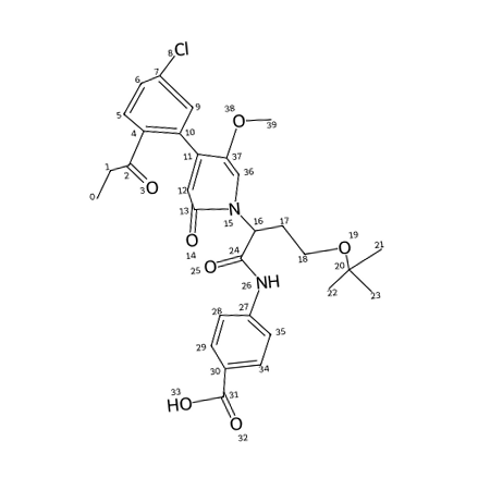 CCC(=O)c1ccc(Cl)cc1-c1cc(=O)n(C(CCOC(C)(C)C)C(=O)Nc2ccc(C(=O)O)cc2)cc1OC